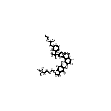 CCOC(=O)Cc1cccc2c1OCC2(C)c1c[nH]c(-c2cc(Oc3c(F)cc4c(ccn4COCC[Si](C)(C)C)c3F)ccc2F)n1